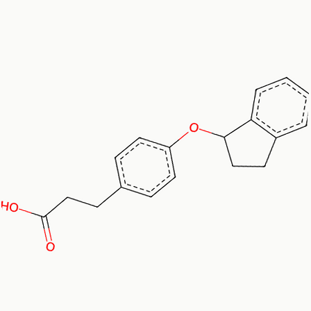 O=C(O)CCc1ccc(OC2CCc3ccccc32)cc1